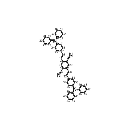 N#Cc1cc(C=Cc2ccc(N(c3ccccc3)c3ccccc3)cc2)c(C#N)cc1C=Cc1ccc(N(c2ccccc2)c2ccccc2)cc1